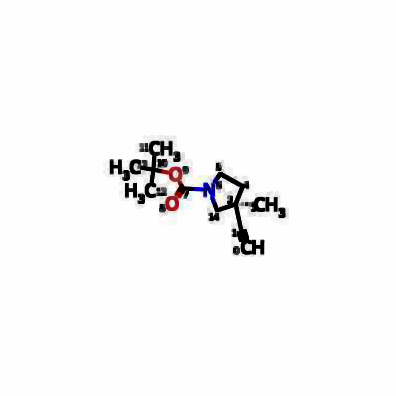 C#C[C@]1(C)CCN(C(=O)OC(C)(C)C)C1